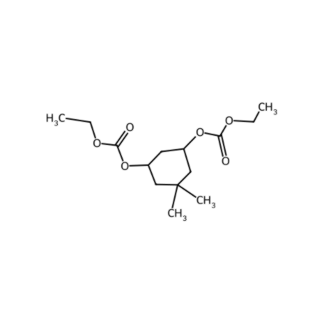 CCOC(=O)OC1CC(OC(=O)OCC)CC(C)(C)C1